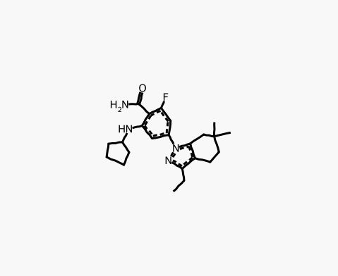 CCc1nn(-c2cc(F)c(C(N)=O)c(NC3CCCC3)c2)c2c1CCC(C)(C)C2